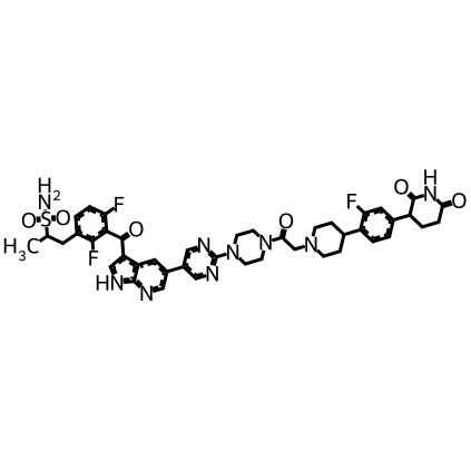 CC(Cc1ccc(F)c(C(=O)c2c[nH]c3ncc(-c4cnc(N5CCN(C(=O)CN6CCC(c7ccc(C8CCC(=O)NC8=O)cc7F)CC6)CC5)nc4)cc23)c1F)S(N)(=O)=O